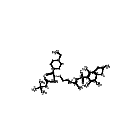 CCN1CCN(C(=O)[C@H](CCCN/C(N)=N/S(=O)(=O)c2c(C)c(C)c3c(c2C)CC(C)O3)NC(=O)OC(C)(C)C)CC1